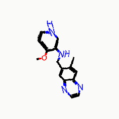 COC1=CCNC=C1NCc1cc2nccnc2cc1C